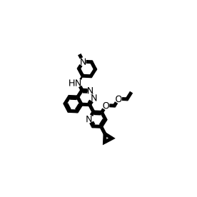 CCOCOc1cc(C2CC2)cnc1-c1nnc(N[C@@H]2CCCN(C)C2)c2ccccc12